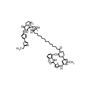 CCc1ncc(-c2ccc(CNC(=O)C3CCCN3[C@@](C=O)(NC(=O)CCCCCCCCCCCCCC(=O)N3CCN(c4cc(Nc5ncc(C(=O)Nc6c(C)cccc6Cl)s5)nc(C)n4)CC3)C(C)(C)CO)cc2)s1